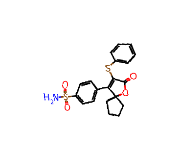 NS(=O)(=O)c1ccc(C2=C(Sc3ccccc3)C(=O)OC23CCCC3)cc1